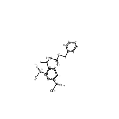 CC(NC(=O)OCc1ccccc1)c1ccc(C(=O)Cl)cc1[N+](=O)[O-]